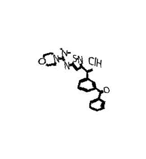 CC(c1cccc(C(=O)c2ccccc2)c1)c1cc(/N=C(\N(C)C)N2CCOCC2)sn1.Cl